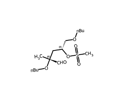 CCCCOC[C@@H](C[C@](C)(C=O)OCCCC)OS(C)(=O)=O